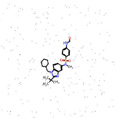 CN(c1ccc2c(c1)nc(C(C)(C)C)n2CC1CCCCC1)S(=O)(=O)c1ccc(NC=O)cc1